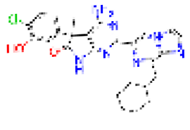 CC1(c2ccc(Cl)c(O)c2)C(=O)Nc2nc(-c3cn4ccnc4c(CC4CCCCC4)n3)nc(N)c21